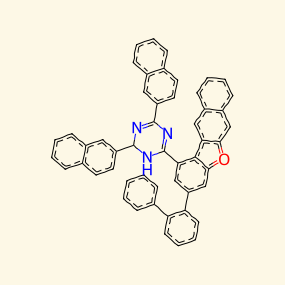 c1ccc(-c2ccccc2-c2cc(C3=NC(c4ccc5ccccc5c4)=NC(c4ccc5ccccc5c4)N3)c3c(c2)oc2cc4ccccc4cc23)cc1